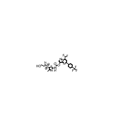 Cc1nc(NC(=O)Oc2cnn3c(C(F)F)cc(-c4ccc(C(F)(F)F)cc4)nc23)sc1S(=O)(=O)NCCO